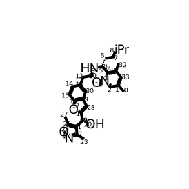 Cc1cnc([C@@H](CCC(C)C)NC(=O)Cc2ccc3oc([C@H](O)c4c(C)noc4C)cc3c2)c(C)c1